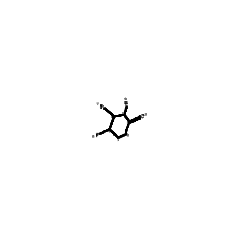 O=C1CCC(F)C(F)C1F